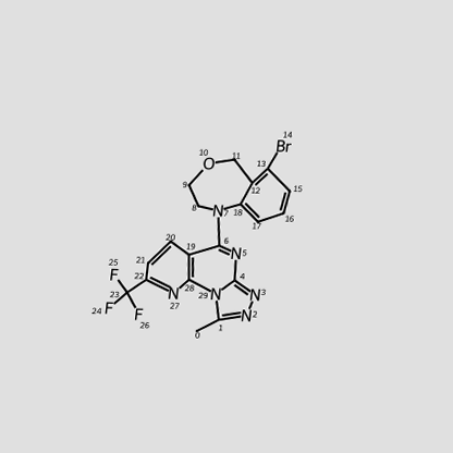 Cc1nnc2nc(N3CCOCc4c(Br)cccc43)c3ccc(C(F)(F)F)nc3n12